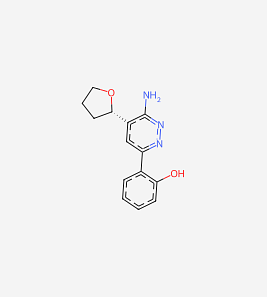 Nc1nnc(-c2ccccc2O)cc1[C@@H]1CCCO1